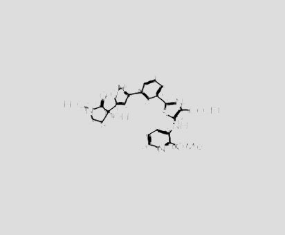 CCOC(=O)c1nc(-c2cccc(-c3cc([C@]4(O)CCN(C)C4=O)on3)c2)sc1Nc1cccnc1OC